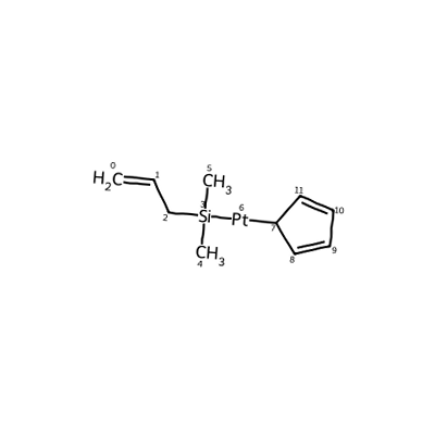 C=CC[Si](C)(C)[Pt][CH]1C=CC=C1